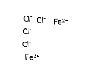 [Cl-].[Cl-].[Cl-].[Cl-].[Fe+2].[Fe+2]